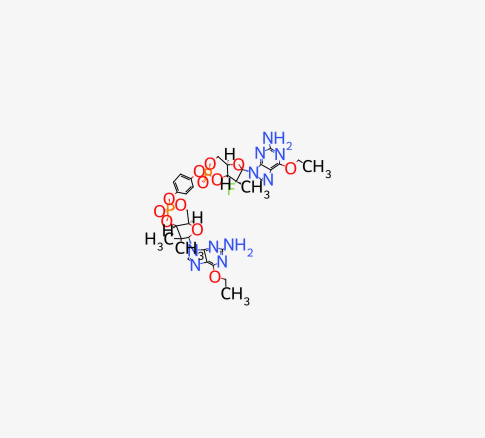 CCOc1nc(N)nc2c1ncn2[C@@H]1O[C@@H]2COP(=O)(Oc3ccc(OP4(=O)OC[C@H]5O[C@@H](n6cnc7c(OCC)nc(N)nc76)[C@](C)(F)[C@@H]5O4)cc3)O[C@H]2C1(C)C